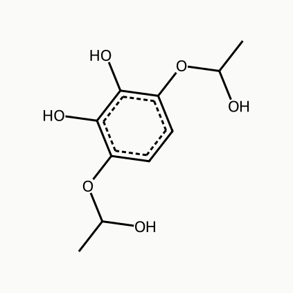 CC(O)Oc1ccc(OC(C)O)c(O)c1O